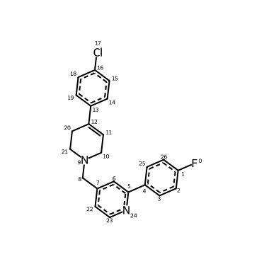 Fc1ccc(-c2cc(CN3CC=C(c4ccc(Cl)cc4)CC3)ccn2)cc1